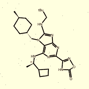 C[C@@H](Nc1nc(-c2noc(=O)[nH]2)nc2nc(NCC(C)(C)C)n(C[C@H]3CC[C@H](C)CC3)c12)C1CCC1